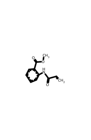 C=CC(=O)Nc1ccccc1C(=O)OC